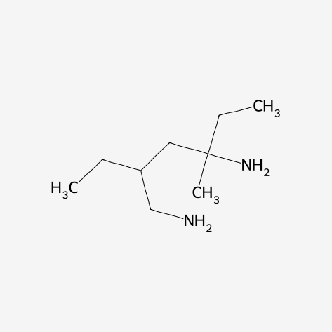 CCC(CN)CC(C)(N)CC